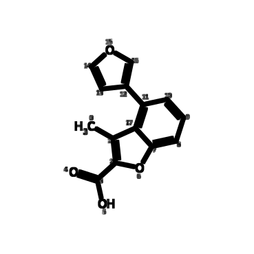 Cc1c(C(=O)O)oc2cccc(-c3ccoc3)c12